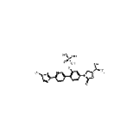 CCCn1nnc(-c2ccc(-c3ccc(N4C[C@@H](C(O)C(F)(F)F)OC4=O)cc3F)cn2)n1.O=P(O)(O)O